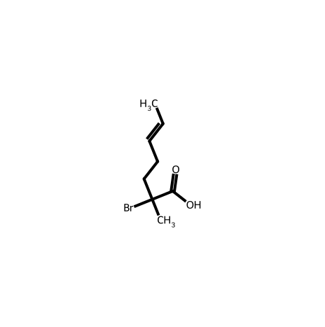 CC=CCCC(C)(Br)C(=O)O